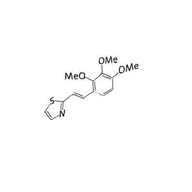 COc1ccc(C=Cc2nccs2)c(OC)c1OC